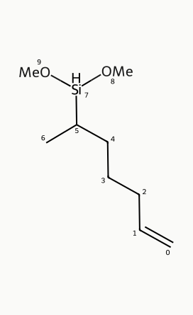 C=CCCCC(C)[SiH](OC)OC